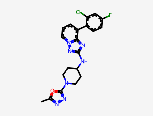 Cc1nnc(N2CCC(Nc3nc4c(-c5ccc(F)cc5Cl)cccn4n3)CC2)o1